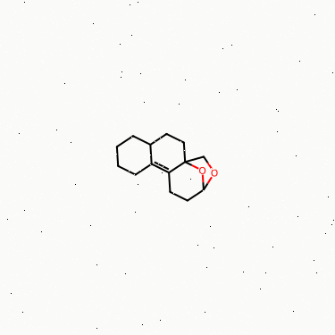 C1CCC2CCC34COC(CCC3=C2C1)O4